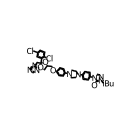 CCC(C)n1ncn(-c2ccc(N3CCN(c4ccc(OCC5COC(Cn6cncn6)(c6cc(Cl)ccc6Cl)O5)cc4)CC3)cc2)c1=O